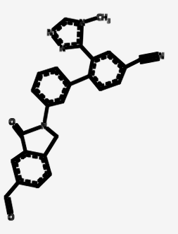 Cn1cnnc1-c1cc(C#N)ccc1-c1cccc(N2Cc3ccc(C=O)cc3C2=O)c1